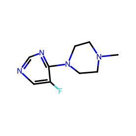 CN1CCN(c2ncncc2F)CC1